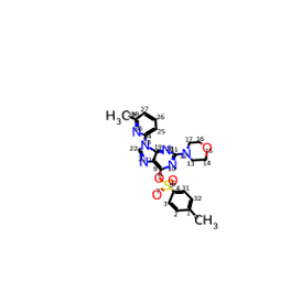 Cc1ccc(S(=O)(=O)Oc2nc(N3CCOCC3)nc3c2ncn3-c2cccc(C)n2)cc1